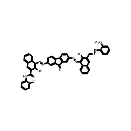 COc1ccccc1NOCc1cc2ccccc2c(N=Nc2ccc3c(c2)C(=O)c2cc(N=Nc4c(O)c(C(=O)Nc5ccccc5Cl)cc5ccccc45)ccc2-3)c1O